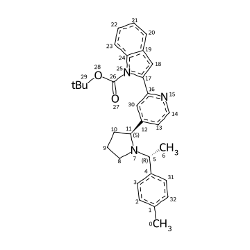 Cc1ccc([C@@H](C)N2CCC[C@H]2c2ccnc(-c3cc4ccccc4n3C(=O)OC(C)(C)C)c2)cc1